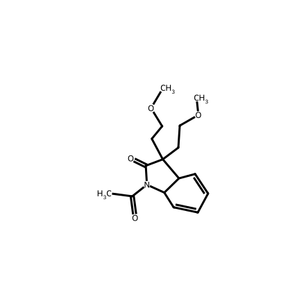 COCCC1(CCOC)C(=O)N(C(C)=O)C2C=CC=CC21